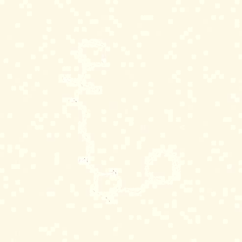 O=S(=O)(NCCCNc1nc(Cc2ccccc2)ns1)c1cccs1